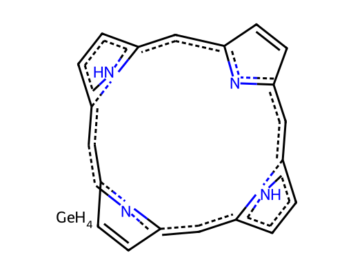 C1=Cc2cc3ccc(cc4nc(cc5ccc(cc1n2)[nH]5)C=C4)[nH]3.[GeH4]